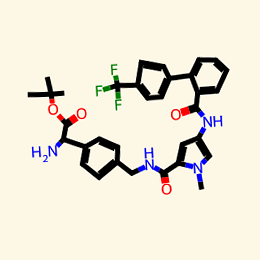 Cn1cc(NC(=O)c2ccccc2-c2ccc(C(F)(F)F)cc2)cc1C(=O)NCc1ccc(C(N)C(=O)OC(C)(C)C)cc1